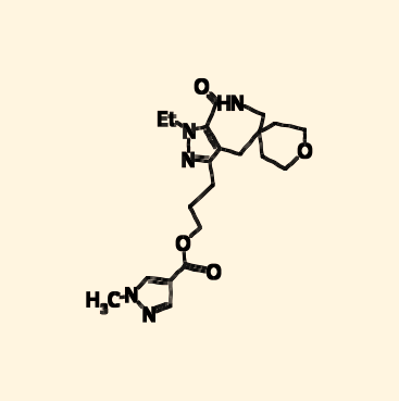 CCn1nc(CCCOC(=O)c2cnn(C)c2)c2c1C(=O)NCC1(CCOCC1)C2